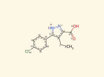 CCc1c(C(=O)O)n[nH]c1-c1ccc(Cl)cc1